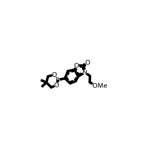 COCCn1c(=O)oc2cc(B3OCC(C)(C)CO3)ccc21